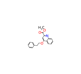 COC(=O)c1cc(OCCc2ccccc2)c2ccccc2n1